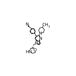 CC1CCN(c2nc3ccn(C[C@H]4CNCCO4)c3cc2-c2ccc(C#N)cc2)CC1